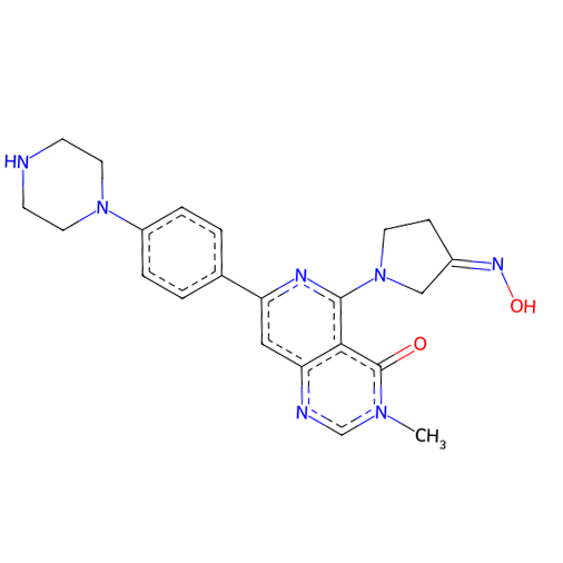 Cn1cnc2cc(-c3ccc(N4CCNCC4)cc3)nc(N3CCC(=NO)C3)c2c1=O